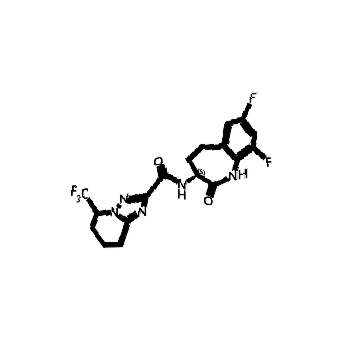 O=C(N[C@H]1CCc2cc(F)cc(F)c2NC1=O)c1nc2n(n1)C(C(F)(F)F)CCC2